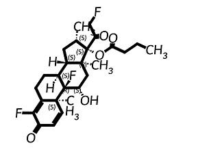 CCCC(=O)O[C@@]1(C(=O)CF)[C@@H](C)C[C@H]2[C@@H]3CCC4=C(F)C(=O)C=C[C@]4(C)[C@@]3(F)[C@@H](O)C[C@@]21C